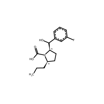 CCC[C@@H]1CC[C@H](C(O)c2cccc(F)c2)N1C(=O)O